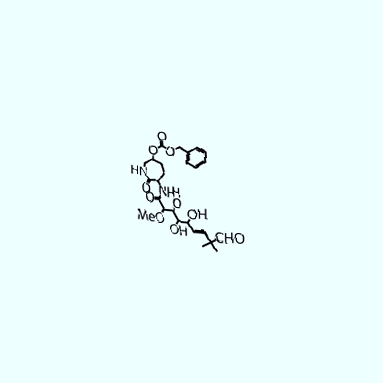 COC(C(=O)NC1CCC(OC(=O)OCc2ccccc2)CNC1=O)C(O)C(O)C(O)C=CC(C)(C)C=O